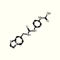 O=C(O)Nc1ccc(NC(=O)NCc2ccn3ccnc3c2)cc1